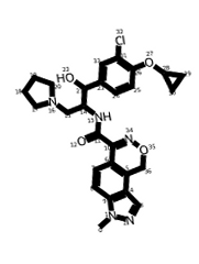 Cn1ncc2c3c(ccc21)C(C(=O)NC(CN1CCCC1)C(O)c1ccc(OC2CC2)c(Cl)c1)=NOC3